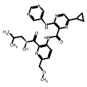 COCc1ccc(NC(=O)c2nc(C3CC3)cnc2Nc2cncnc2)c(C(=O)N(O)CC(C)C)n1